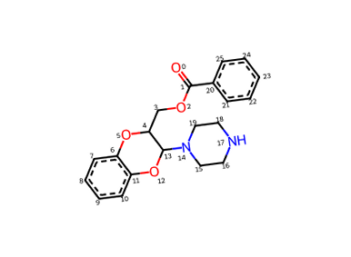 O=C(OCC1Oc2ccccc2OC1N1CCNCC1)c1ccccc1